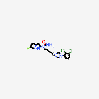 NC(=O)N(CCCCCN1CCN(c2cccc(Cl)c2Cl)CC1)c1cc2ccc(F)cn2n1